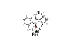 c1ccc2c(c1)C[C@H]1NCC[C@@]23CCCC[C@@H]13.c1ncc2[nH]cnc2n1